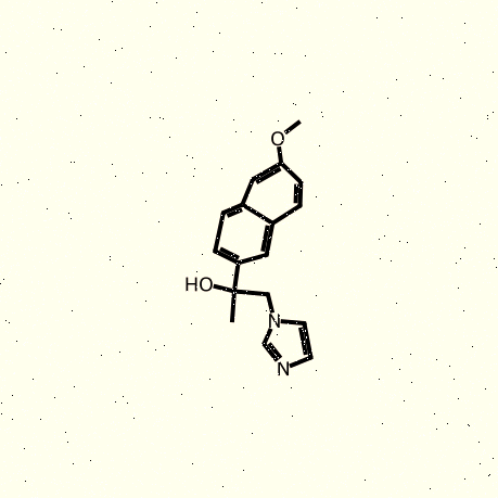 COc1ccc2cc(C(C)(O)Cn3ccnc3)ccc2c1